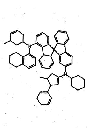 CC1C=CCC(N(c2cccc3c2CCCC3)c2cccc3c2C2C=CC=CC2C32c3ccccc3-c3ccc(N(C4=CC(C5=CCCC=C5)C(C)C4)C4CCCCC4)cc32)C1